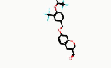 C[C@H](Oc1ccc(COc2ccc3c(c2)OCC(C=O)=C3)cc1C(F)(F)F)C(F)(F)F